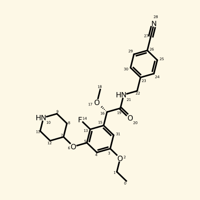 CCOc1cc(OC2CCNCC2)c(F)c([C@H](OC)C(=O)NCc2ccc(C#N)cc2)c1